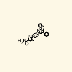 Cc1cc(C(N)=O)cnc1N1CCN(c2cc(-c3ccccc3)nc(N3CCCC3C)n2)CC1